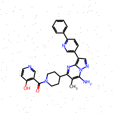 Cc1c(C2CCN(C(=O)c3cnccc3O)CC2)nc2c(-c3ccc(-c4ccccc4)nc3)cnn2c1N